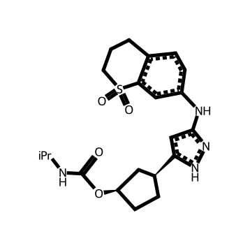 CC(C)NC(=O)O[C@@H]1CC[C@H](c2cc(Nc3ccc4c(c3)S(=O)(=O)CCC4)n[nH]2)C1